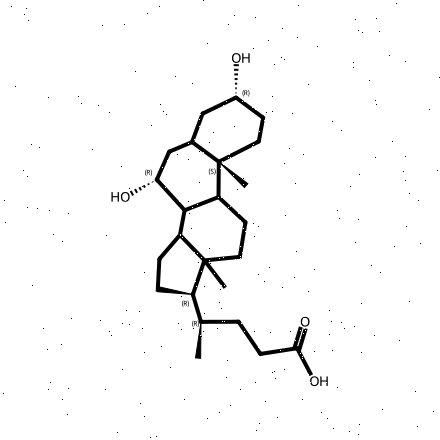 C[C@H](CCC(=O)O)[C@H]1CCC2C3C(CCC21C)[C@@]1(C)CC[C@@H](O)CC1C[C@H]3O